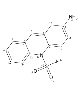 NC1=CC=C2C(=Cc3ccccc3N2S(=O)(=O)F)C1